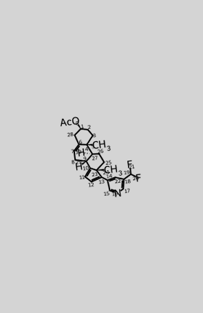 CC(=O)O[C@H]1CC[C@@]2(C)C(=CC[C@H]3C4=CC=C(c5cncc(C(F)F)c5)[C@@]4(C)CC[C@@H]32)C1